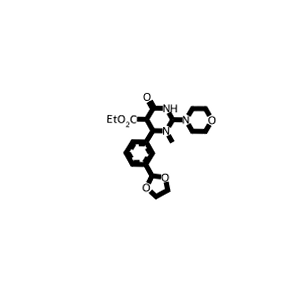 CCOC(=O)C1C(=O)NC(N2CCOCC2)N(C)C1c1cccc(C2OCCO2)c1